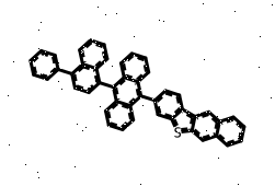 c1ccc(-c2ccc(-c3c4ccccc4c(-c4ccc5c(c4)sc4cc6ccccc6cc45)c4ccccc34)c3ccccc23)cc1